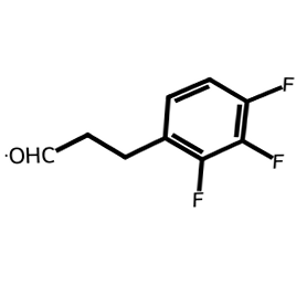 O=[C]CCc1ccc(F)c(F)c1F